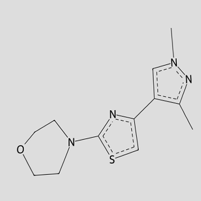 Cc1nn(C)cc1-c1csc(N2CCOCC2)n1